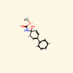 CC(C)(C)OC(=O)NC1(O)C=CC(c2ccccc2)=CC1